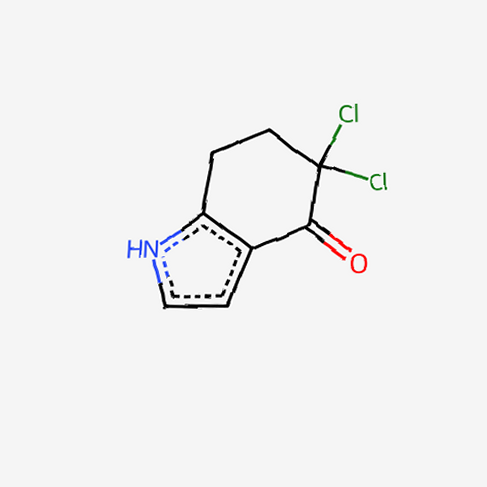 O=C1c2cc[nH]c2CCC1(Cl)Cl